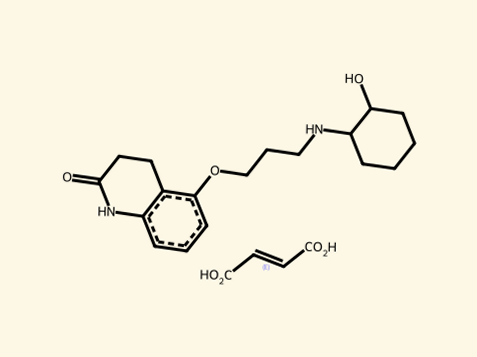 O=C(O)/C=C/C(=O)O.O=C1CCc2c(cccc2OCCCNC2CCCCC2O)N1